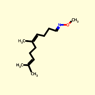 CON=CCCC=C(C)CCC=C(C)C